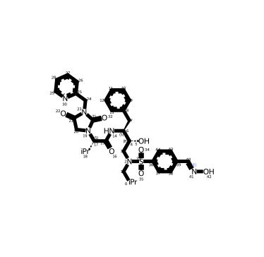 CC(C)CN(C[C@@H](O)[C@H](Cc1ccccc1)NC(=O)[C@H](C(C)C)N1CC(=O)N(Cc2ccccn2)C1=O)S(=O)(=O)c1ccc(/C=N/O)cc1